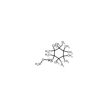 CC1(C)C(C)(C)C(C)(C)C(C)(C)C(C)(C)C1(C)C.[SiH3]O[SiH3]